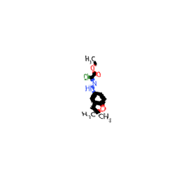 CCOC(=O)C(Cl)=NNc1ccc2c(c1)CC(C)(C)O2